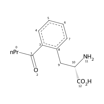 CCCC(=O)c1ccccc1C[C@H](N)C(=O)O